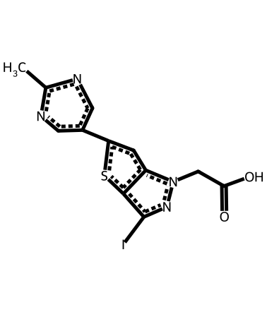 Cc1ncc(-c2cc3c(s2)c(I)nn3CC(=O)O)cn1